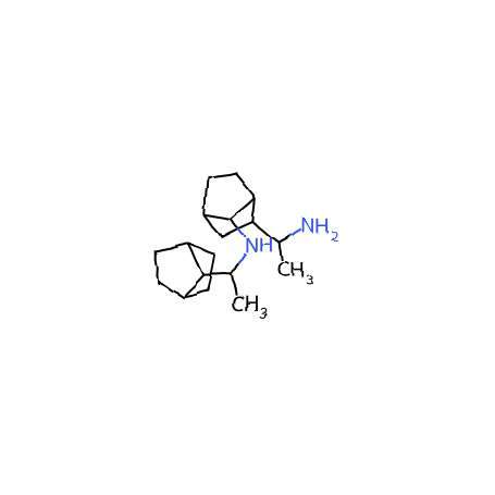 CC(N)C1CC2CCC1C2NC(C)C1C2CCC1CC2